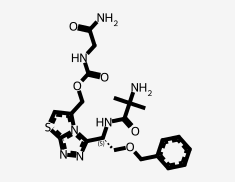 CC(C)(N)C(=O)N[C@H](COCc1ccccc1)c1nnc2scc(COC(=O)NCC(N)=O)n12